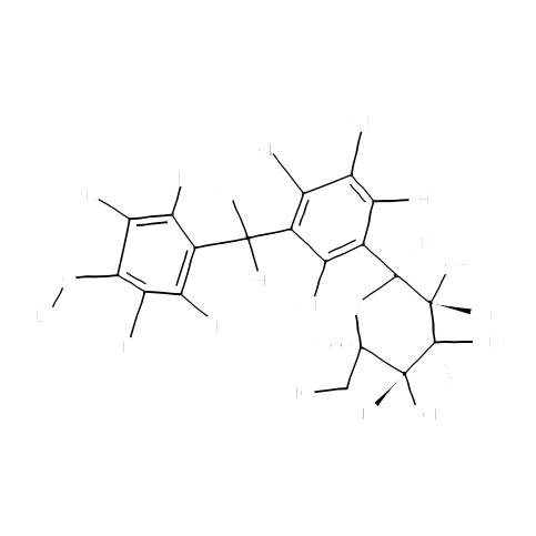 [2H]c1c([2H])c([C@]2([2H])O[C@]([2H])(CO)[C@@]([2H])(O)[C@]([2H])(O)[C@@]2([2H])O)c([2H])c(C([2H])([2H])c2c([2H])c([2H])c(OCC)c([2H])c2[2H])c1Cl